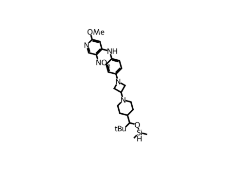 COc1cc(Nc2ccc(N3CC(N4CCC(C(O[SiH](C)C)C(C)(C)C)CC4)C3)cc2)c([N+](=O)[O-])cn1